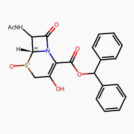 CC(=O)NC1C(=O)N2C(C(=O)OC(c3ccccc3)c3ccccc3)=C(O)C[S+]([O-])[C@H]12